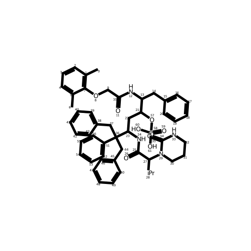 Cc1cccc(C)c1OCC(=O)NC(Cc1ccccc1)C(CC(NC(=O)C(C(C)C)N1CCCNC1=O)C(Cc1ccccc1)(Cc1ccccc1)c1ccccc1)OP(=O)(O)O